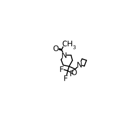 CC(=O)N1CCC(C(=O)N2CCC2)(C(F)(F)F)CC1